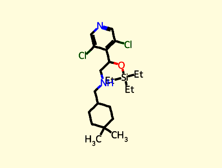 CC[Si](CC)(CC)OC(CNCC1CCC(C)(C)CC1)c1c(Cl)cncc1Cl